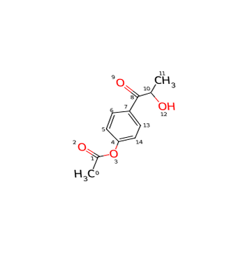 CC(=O)Oc1ccc(C(=O)C(C)O)cc1